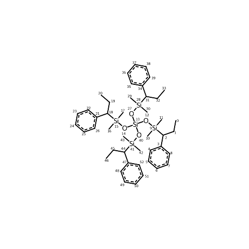 CCC(c1ccccc1)[Si](C)(C)O[Si](O[Si](C)(C)C(CC)c1ccccc1)(O[Si](C)(C)C(CC)c1ccccc1)O[Si](C)(C)C(CC)c1ccccc1